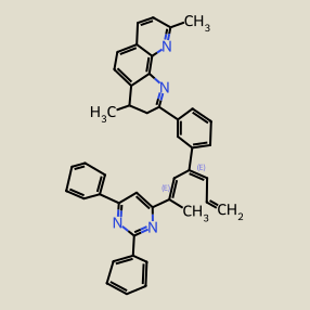 C=C/C=C(\C=C(/C)c1cc(-c2ccccc2)nc(-c2ccccc2)n1)c1cccc(C2=Nc3c(ccc4ccc(C)nc34)C(C)C2)c1